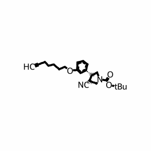 C#CCCCCCOc1cccc([C@@H]2CN(C(=O)OC(C)(C)C)C[C@H]2C#N)c1